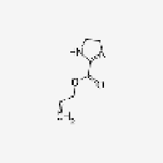 C=CCOC(=O)C1=NCCN1